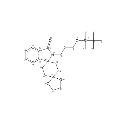 CC(C)(C)[Si](C)(C)OCCCN1C(=O)c2ccccc2C12CCC1(CC2)OCCO1